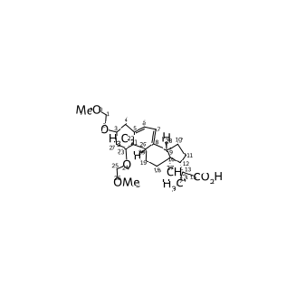 COCOC1CC2=CC=C3[C@@H]4CC[C@H](C(C)C(=O)O)[C@@]4(C)CC[C@@H]3[C@@]2(C)C(OCOC)C1